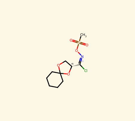 CS(=O)(=O)O/N=C(/Cl)[C@H]1COC2(CCCCC2)O1